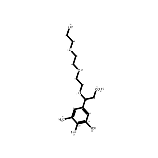 Cc1cc(C(CC(=O)O)OCCOCCOCCO)cc(C(C)(C)C)c1O